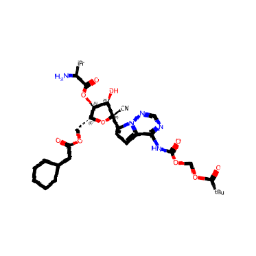 CC(C)C(N)C(=O)O[C@H]1[C@@H](O)[C@](C#N)(c2ccc3c(NC(=O)OCOC(=O)C(C)(C)C)ncnn23)O[C@@H]1COC(=O)CC1CCCCC1